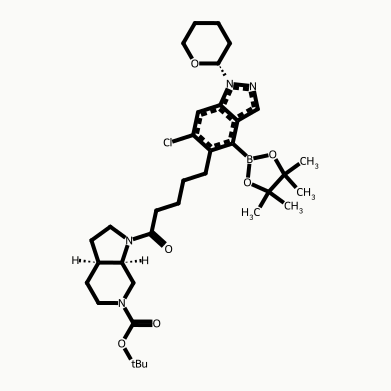 CC(C)(C)OC(=O)N1CC[C@H]2CCN(C(=O)CCCCc3c(Cl)cc4c(cnn4[C@H]4CCCCO4)c3B3OC(C)(C)C(C)(C)O3)[C@H]2C1